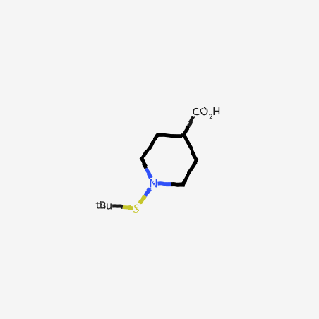 CC(C)(C)SN1CCC(C(=O)O)CC1